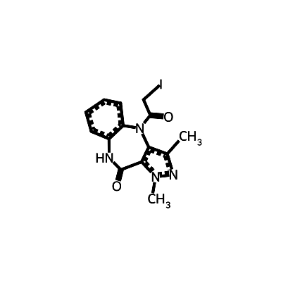 Cc1nn(C)c2c1N(C(=O)CI)c1ccccc1NC2=O